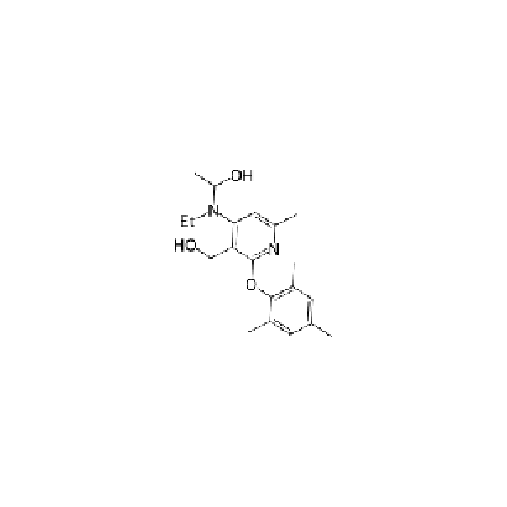 CCN(c1cc(C)nc(Oc2c(C)cc(C)cc2C)c1CO)C(C)O